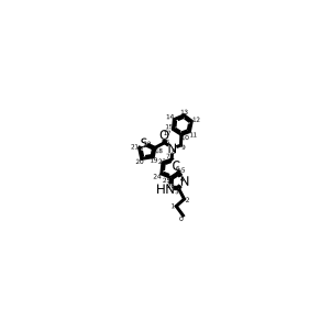 CCCc1nc2cc(N(Cc3ccccc3)C(=O)c3cccs3)ccc2[nH]1